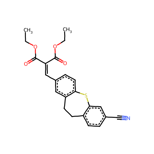 CCOC(=O)C(=Cc1ccc2c(c1)CCc1ccc(C#N)cc1S2)C(=O)OCC